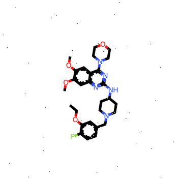 CCOc1cc(CN2CCC(Nc3nc(N4CCOCC4)c4cc(OC)c(OC)cc4n3)CC2)ccc1F